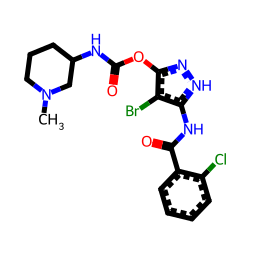 CN1CCCC(NC(=O)Oc2n[nH]c(NC(=O)c3ccccc3Cl)c2Br)C1